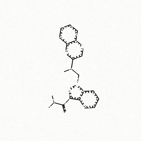 CC(C)C(=O)c1nn(CC(C)c2cnc3ccccc3n2)c2ccccc12